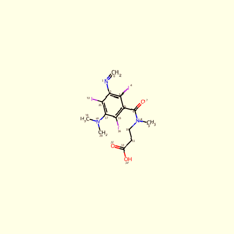 C=Nc1c(I)c(C(=O)N(C)CCC(=O)O)c(I)c(N(C)C)c1I